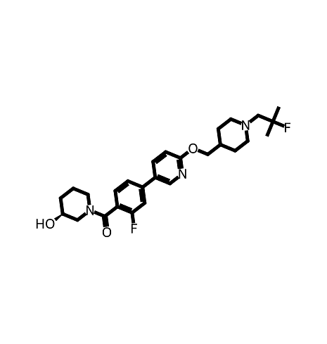 CC(C)(F)CN1CCC(COc2ccc(-c3ccc(C(=O)N4CCC[C@H](O)C4)c(F)c3)cn2)CC1